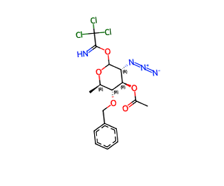 CC(=O)O[C@H]1[C@H](OCc2ccccc2)[C@@H](C)OC(OC(=N)C(Cl)(Cl)Cl)[C@@H]1N=[N+]=[N-]